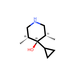 C[C@@H]1CNC[C@H](C)[C@]1(O)C1CC1